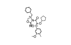 COc1cc([C@H](O)[C@@H](OC2CCCC2)C(=O)N2C(=O)OC[C@H]2Cc2ccccc2)ccc1C